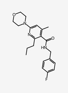 CCCc1nc(N2CCOCC2)cc(C)c1C(=O)NCc1ccc(F)cc1